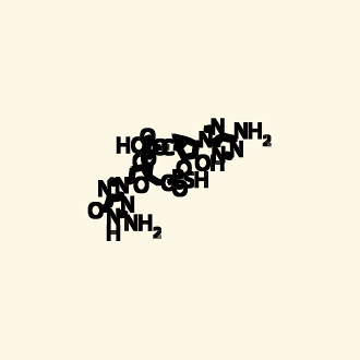 Nc1nc2c(ncn2C2OC34COC2C3OP(=O)(O)OCC23CC2C(n2cnc5c(N)ncnc52)C(O)C3OP(=O)(S)OC4)c(=O)[nH]1